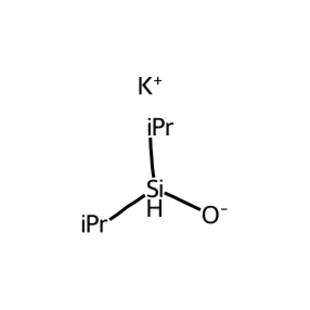 CC(C)[SiH]([O-])C(C)C.[K+]